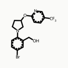 OCc1cc(Br)ccc1N1CCC(Oc2ccc(C(F)(F)F)cn2)C1